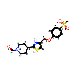 CS(=O)(=O)c1ccc(OCc2csc(C3CCN(C=O)CC3)n2)cc1